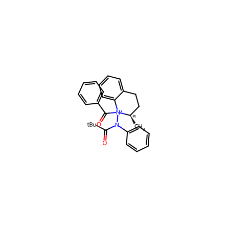 C[C@@H]1CCc2ccccc2[N+]1(C(=O)c1ccccc1)N(C(=O)C(C)(C)C)c1ccccc1